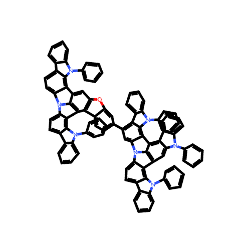 c1ccc(-n2c3ccccc3c3c4c5c6c(c(-c7ccc8c(c7)oc7cc9c%10c%11c(ccc%10n%10c%12ccc%13c%14ccccc%14n(-c%14ccccc%14)c%13c%12c(c78)c9%10)c7ccccc7n%11-c7ccccc7)cc5n5c7ccc8c9ccccc9n(-c9ccccc9)c8c7c(cc32)c45)c2ccccc2n6-c2ccccc2)cc1